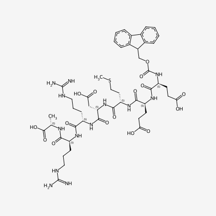 CSCC[C@H](NC(=O)[C@H](CCC(=O)O)NC(=O)[C@H](CCC(=O)O)NC(=O)OCC1c2ccccc2-c2ccccc21)C(=O)N[C@@H](CC(=O)O)C(=O)N[C@@H](CCCNC(=N)N)C(=O)N[C@@H](CCCNC(=N)N)C(=O)N[C@@H](C)C(=O)O